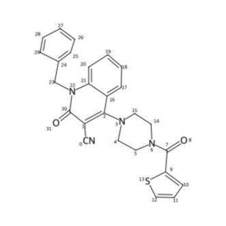 N#Cc1c(N2CCN(C(=O)c3cccs3)CC2)c2ccccc2n(Cc2ccccc2)c1=O